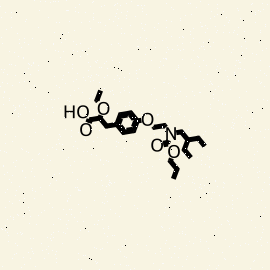 CCCOC(=O)N(CCOc1ccc(CC(OCC)C(=O)O)cc1)CC(CC)CC